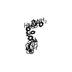 COC(=O)N[C@H](C(=O)NC(=O)[C@@H]1CCCN1c1ccc(CN(Cc2ccc(NC(=O)[C@@H]3CCCN3C(=O)[C@H](N)c3ccccc3)cc2)c2ccccc2)cc1)C(C)(C)C